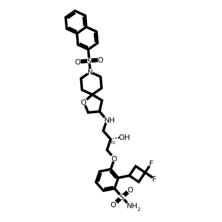 NS(=O)(=O)c1cccc(OC[C@@H](O)CNC2COC3(CCN(S(=O)(=O)c4ccc5ccccc5c4)CC3)C2)c1C1CC(F)(F)C1